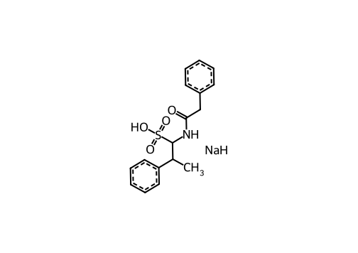 CC(c1ccccc1)C(NC(=O)Cc1ccccc1)S(=O)(=O)O.[NaH]